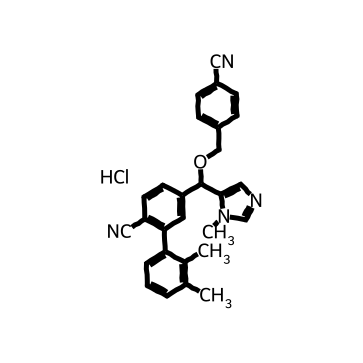 Cc1cccc(-c2cc(C(OCc3ccc(C#N)cc3)c3cncn3C)ccc2C#N)c1C.Cl